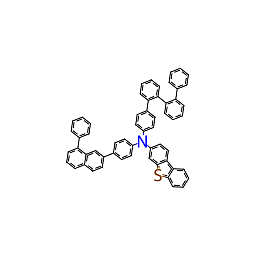 c1ccc(-c2ccccc2-c2ccccc2-c2ccc(N(c3ccc(-c4ccc5cccc(-c6ccccc6)c5c4)cc3)c3ccc4c(c3)sc3ccccc34)cc2)cc1